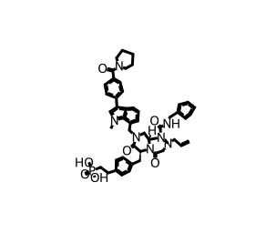 C=CCN1CC(=O)N2[C@@H](Cc3ccc(CCP(=O)(O)O)cc3)C(=O)N(Cc3cccc4c(-c5ccc(C(=O)N6CCCCC6)cc5)cn(C)c34)C[C@@H]2N1C(=O)NCc1ccccc1